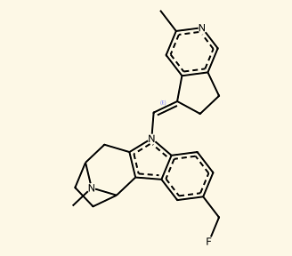 Cc1cc2c(cn1)CC/C2=C\n1c2c(c3cc(CF)ccc31)C1CCC(C2)N1C